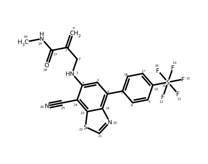 C=C(CNc1cc(-c2ccc(S(F)(F)(F)(F)F)cc2)c2ncsc2c1C#N)C(=O)NC